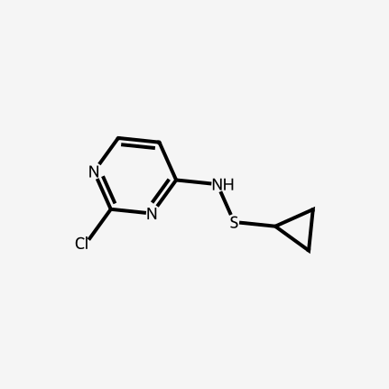 Clc1nccc(NSC2CC2)n1